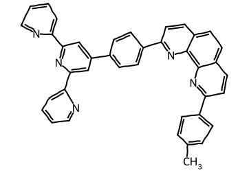 Cc1ccc(-c2ccc3ccc4ccc(-c5ccc(-c6cc(-c7ccccn7)nc(-c7ccccn7)c6)cc5)nc4c3n2)cc1